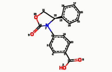 O=C(O)c1ccc(N2C(=O)OC[C@H]2c2ccccc2)cc1